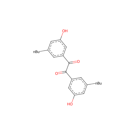 CCCCc1cc(O)cc(C(=O)C(=O)c2cc(O)cc(CCCC)c2)c1